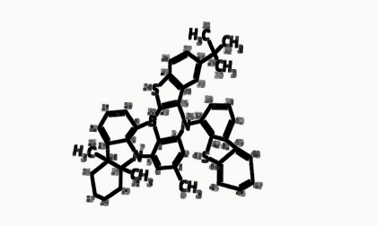 Cc1cc2c3c(c1)N1c4c(cccc4C4(C)CCCCC14C)B3c1sc3ccc(C(C)(C)C)cc3c1N2c1cccc2c1sc1ccccc12